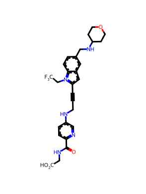 O=C(O)CNC(=O)c1ccc(NCC#Cc2cc3cc(CNC4CCOCC4)ccc3n2CC(F)(F)F)cn1